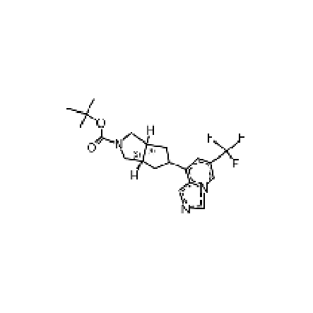 CC(C)(C)OC(=O)N1C[C@H]2CC(c3cc(C(F)(F)F)cn4cncc34)C[C@H]2C1